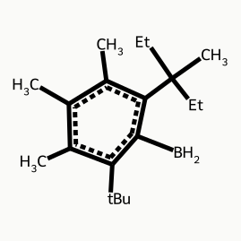 Bc1c(C(C)(C)C)c(C)c(C)c(C)c1C(C)(CC)CC